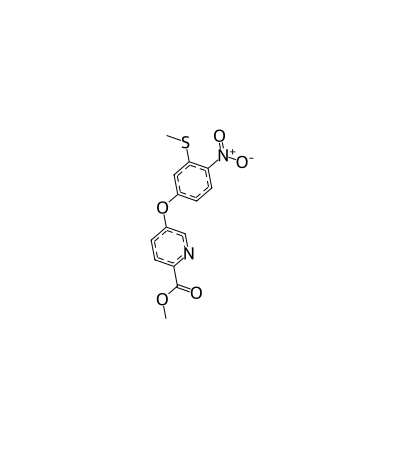 COC(=O)c1ccc(Oc2ccc([N+](=O)[O-])c(SC)c2)cn1